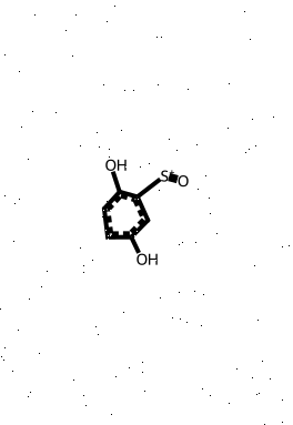 O=[S+]c1cc(O)ccc1O